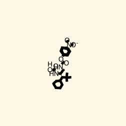 CC(C)(C)[C@H](C1CCCCC1)C(CNC(=O)Oc1ccc([N+](=O)[O-])cc1)NC(=O)O